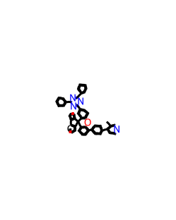 Cc1cnccc1-c1ccc(-c2cccc3c2Oc2ccc(-c4nc(-c5ccccc5)nc(-c5ccccc5)n4)cc2C32c3ccccc3-c3ccccc32)cc1